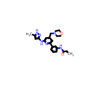 C=CC(=O)Nc1cccc(-c2cc(CN3CCOCC3)cc(Nc3cc(C)[nH]n3)n2)c1